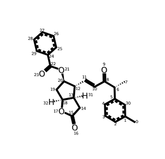 Cc1cccc([C@@H](C)C(=O)C=C[C@@H]2[C@H]3CC(=O)O[C@H]3C[C@H]2OC(=O)c2ccccc2)c1